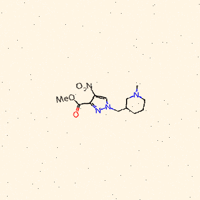 COC(=O)c1nn(CC2CCCN(C)C2)cc1[N+](=O)[O-]